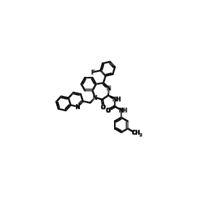 Cc1cccc(NC(=O)N[C@@H]2N=C(c3ccccc3F)c3ccccc3N(Cc3ccc4ccccc4n3)C2=O)c1